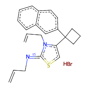 Br.C=CC/N=c1\scc(C2(c3ccc4ccccc4c3)CCC2)n1CC=C